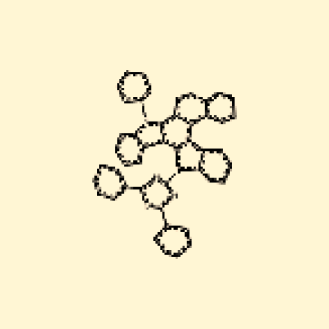 c1ccc(-c2nc(-c3ccccc3)nc(-n3c4ccccc4c4c5c6ccccc6ccc5c5c(c6ccccc6n5-c5ccccc5)c43)n2)cc1